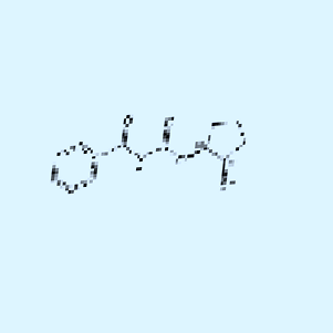 O=C(NC(=O)c1ccccc1)O[C@H]1CCC[C@H]1S